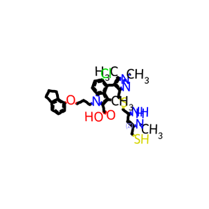 CN/C(=C\C(=N)CSCc1nn(C)c(C)c1-c1c(Cl)ccc2c1c(C)c(C(=O)O)n2CCCOc1cccc2c1CCC2)CS